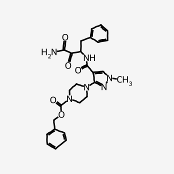 Cn1cc(C(=O)NC(Cc2ccccc2)C(=O)C(N)=O)c(N2CCN(C(=O)OCc3ccccc3)CC2)n1